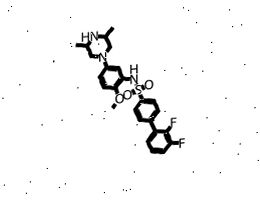 COc1ccc(N2CC(C)NC(C)C2)cc1NS(=O)(=O)c1ccc(-c2cccc(F)c2F)cc1